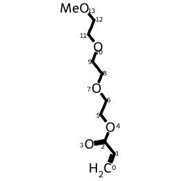 C=CC(=O)OCCOCCOCCOC